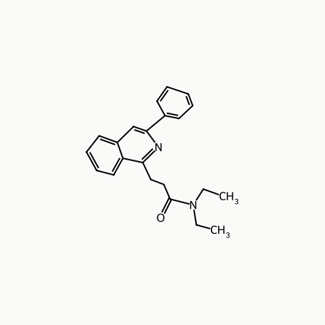 CCN(CC)C(=O)CCc1nc(-c2ccccc2)cc2ccccc12